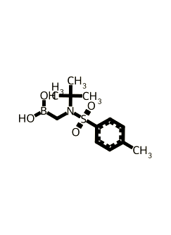 Cc1ccc(S(=O)(=O)N(CB(O)O)C(C)(C)C)cc1